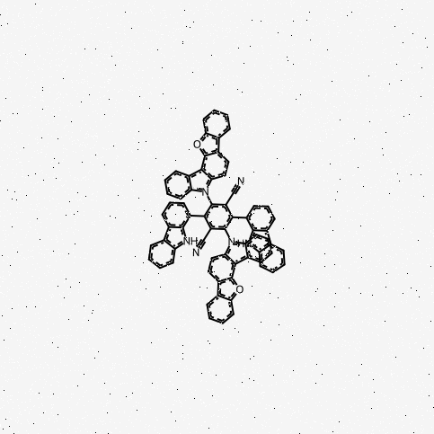 N#Cc1c(-c2cccc3c2[nH]c2ccccc23)c(-n2c3ccccc3c3c4oc5ccccc5c4ccc32)c(C#N)c(-c2cccc3c2[nH]c2ccccc23)c1-n1c2ccccc2c2c3oc4ccccc4c3ccc21